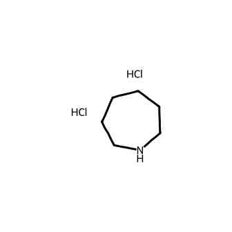 C1CCCNCC1.Cl.Cl